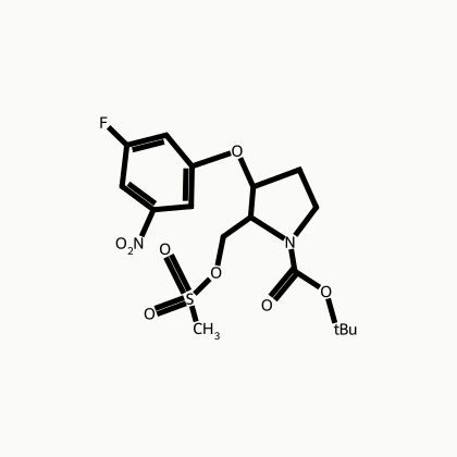 CC(C)(C)OC(=O)N1CCC(Oc2cc(F)cc([N+](=O)[O-])c2)C1COS(C)(=O)=O